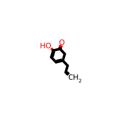 C=CCC1=CC=C(O)C(=O)C1